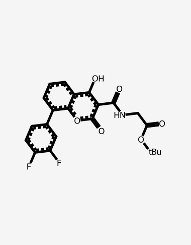 CC(C)(C)OC(=O)CNC(=O)c1c(O)c2cccc(-c3ccc(F)c(F)c3)c2oc1=O